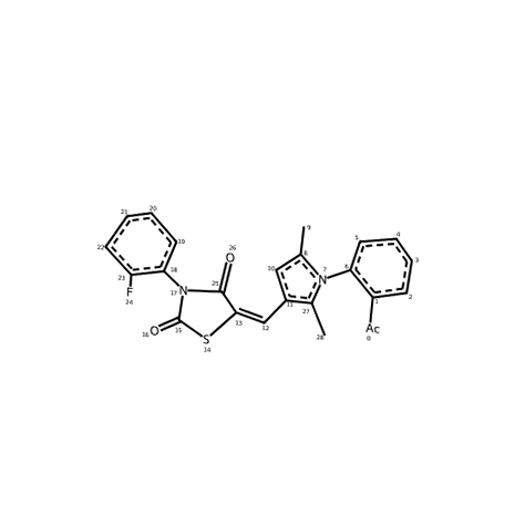 CC(=O)c1ccccc1-n1c(C)cc(C=C2SC(=O)N(c3ccccc3F)C2=O)c1C